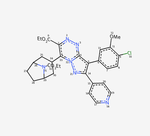 CCOC(=O)c1nnc2c(-c3ccc(Cl)c(OC)c3)c(-c3ccncc3)nn2c1C1CC2CCC(C1)N2C(=O)OCC